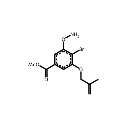 C=C(C)COc1cc(C(=O)OC)cc(ON)c1Br